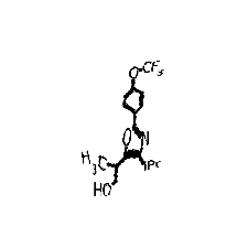 CC(C)c1nc(-c2ccc(OC(F)(F)F)cc2)oc1C(C)CO